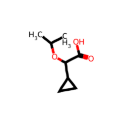 CC(C)OC(C(=O)O)C1CC1